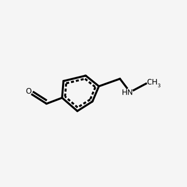 CNCc1ccc(C=O)cc1